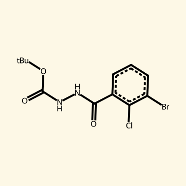 CC(C)(C)OC(=O)NNC(=O)c1cccc(Br)c1Cl